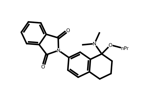 CCCOC1(N(C)C)CCCc2ccc(N3C(=O)c4ccccc4C3=O)cc21